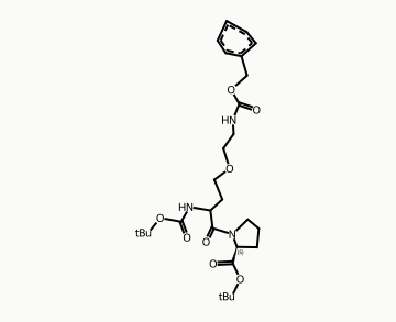 CC(C)(C)OC(=O)NC(CCOCCNC(=O)OCc1ccccc1)C(=O)N1CCC[C@H]1C(=O)OC(C)(C)C